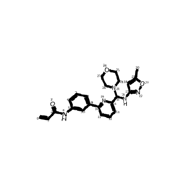 C=CC(=O)Nc1cccc(-c2cccc(C(Nc3cc(C)on3)N3CCOCC3)n2)c1